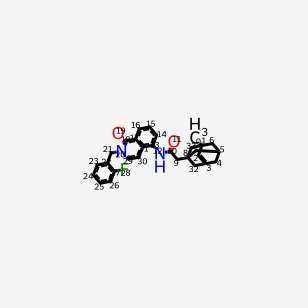 CC12C=C3CC(C1)CC(CC(=O)Nc1cccc4c(=O)n(Cc5ccccc5F)ccc14)(C3)C2